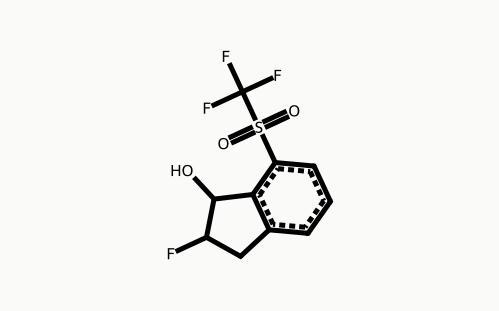 O=S(=O)(c1cccc2c1C(O)C(F)C2)C(F)(F)F